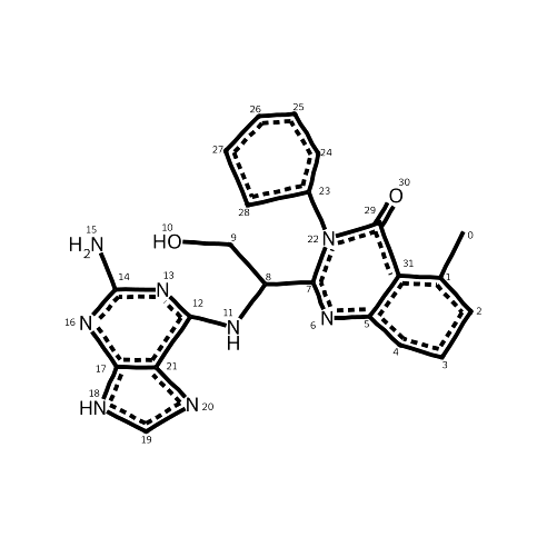 Cc1cccc2nc(C(CO)Nc3nc(N)nc4[nH]cnc34)n(-c3ccccc3)c(=O)c12